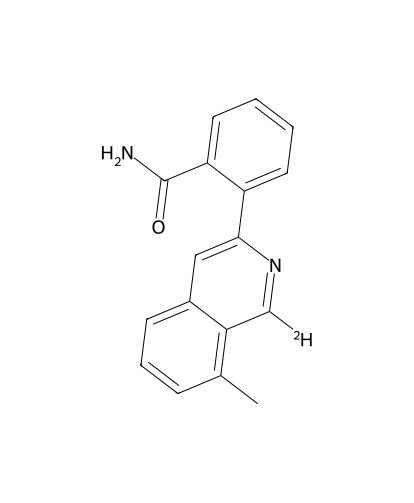 [2H]c1nc(-c2ccccc2C(N)=O)cc2cccc(C)c12